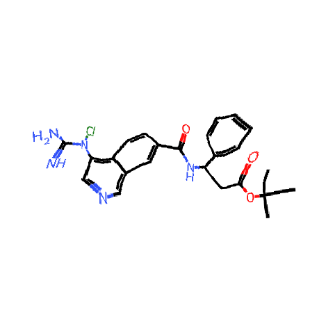 CC(C)(C)OC(=O)CC(NC(=O)c1ccc2c(N(Cl)C(=N)N)cncc2c1)c1ccccc1